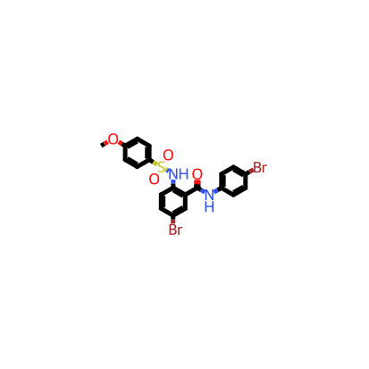 COc1ccc(S(=O)(=O)Nc2ccc(Br)cc2C(=O)Nc2ccc(Br)cc2)cc1